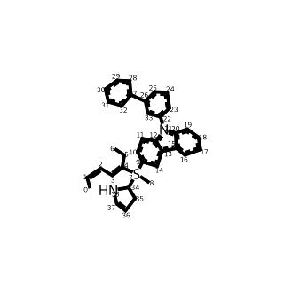 C/C=C\C=C(/CC)S(C)(c1ccc2c(c1)c1ccccc1n2-c1cccc(-c2ccccc2)c1)C1CC=CN1